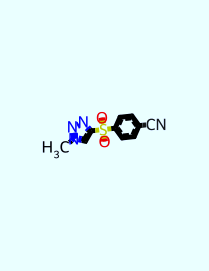 Cn1cc(S(=O)(=O)c2ccc(C#N)cc2)nn1